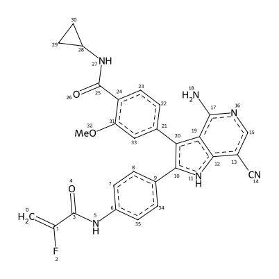 C=C(F)C(=O)Nc1ccc(-c2[nH]c3c(C#N)cnc(N)c3c2-c2ccc(C(=O)NC3CC3)c(OC)c2)cc1